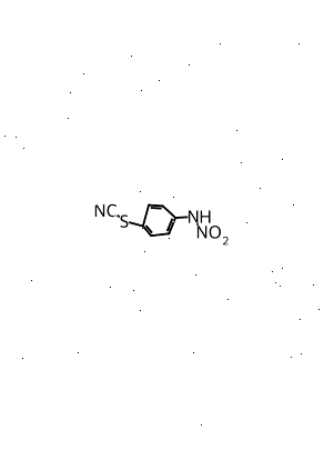 N#CSc1ccc(N[N+](=O)[O-])cc1